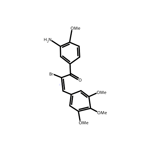 COc1ccc(C(=O)/C(Br)=C\c2cc(OC)c(OC)c(OC)c2)cc1N